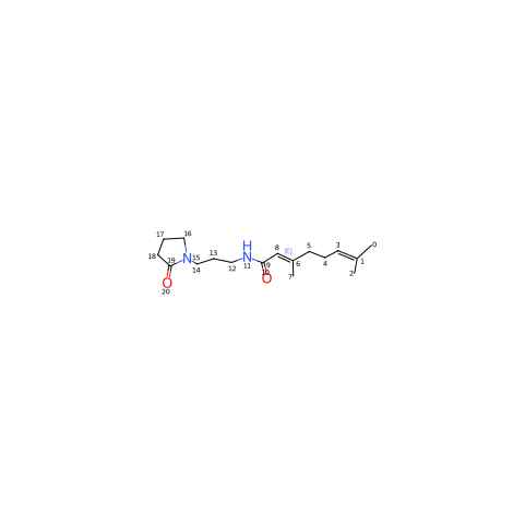 CC(C)=CCC/C(C)=C/C(=O)NCCCN1CCCC1=O